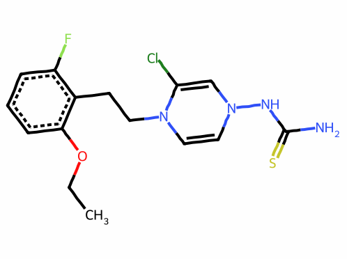 CCOc1cccc(F)c1CCN1C=CN(NC(N)=S)C=C1Cl